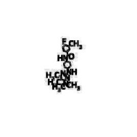 Cc1cc(C(=O)N[C@H]2CC[C@@H](Nc3nc(C)c(C)c(N(C)C)n3)CC2)ccc1F